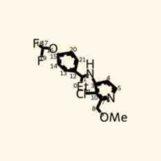 CCC(Nc1ccnc(COC)c1Cl)c1ccc(OC(F)F)cc1